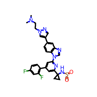 CN(C)CCn1cc(-c2ccc3c(c2)ncn3-c2cc(-c3ccc(F)cc3F)cc(C3(N[SH](=O)=O)CC3)n2)cn1